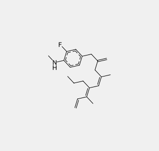 C=C/C(C)=C(/C=C(/C)CC(=C)Cc1ccc(NC)c(F)c1)CCC